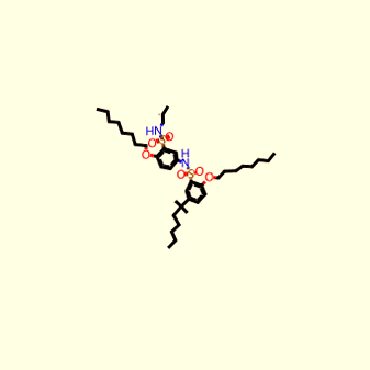 C[CH]CNS(=O)(=O)c1cc(NS(=O)(=O)c2cc(C(C)(C)CCCCC)ccc2OCCCCCCCC)ccc1OCCCCCCCC